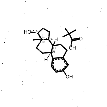 CC(C)(C)C(=O)O.C[C@]12CC[C@@H]3c4ccc(O)cc4CC[C@H]3[C@@H]1CC[C@@H]2O